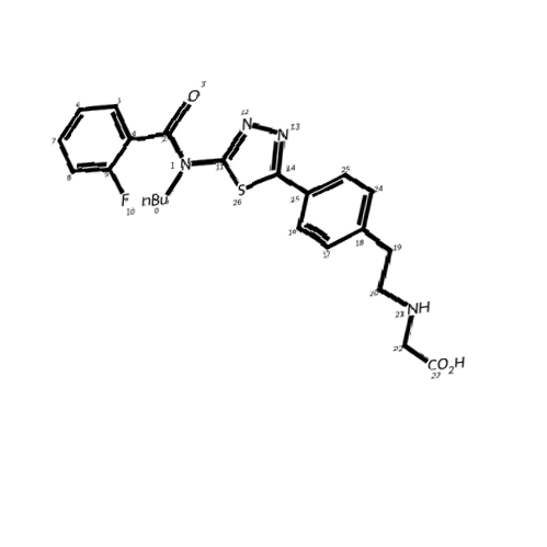 CCCCN(C(=O)c1ccccc1F)c1nnc(-c2ccc(CCNCC(=O)O)cc2)s1